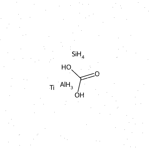 O=C(O)O.[AlH3].[SiH4].[Ti]